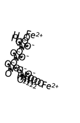 O.O.O.O.O.O.O=[N+]([O-])[O-].O=[N+]([O-])[O-].O=[N+]([O-])[O-].O=[N+]([O-])[O-].[Fe+2].[Fe+2]